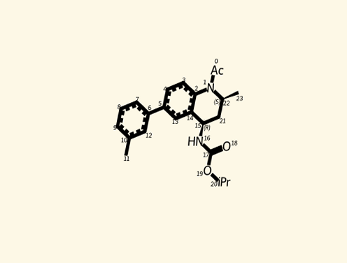 CC(=O)N1c2ccc(-c3cccc(C)c3)cc2[C@H](NC(=O)OC(C)C)C[C@@H]1C